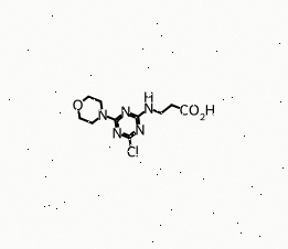 O=C(O)CCNc1nc(Cl)nc(N2CCOCC2)n1